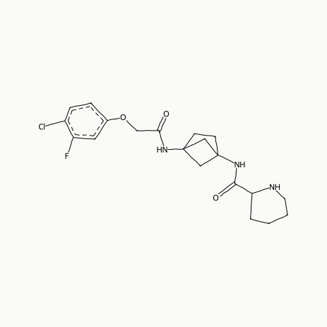 O=C(COc1ccc(Cl)c(F)c1)NC12CCC(NC(=O)C3CCCCN3)(C1)C2